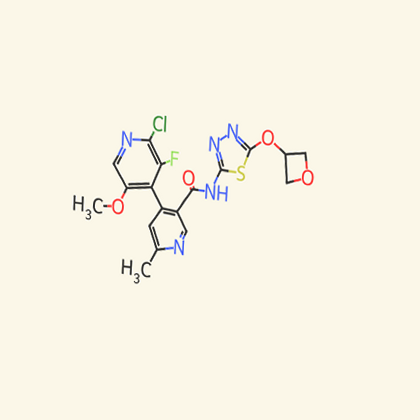 COc1cnc(Cl)c(F)c1-c1cc(C)ncc1C(=O)Nc1nnc(OC2COC2)s1